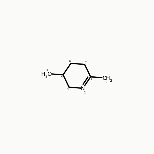 CC1=NCC(C)CC1